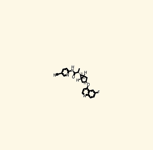 CC(C(=O)Nc1ccc(C#N)cn1)[C@@H]1[C@@H]2C[C@@H](Oc3ccnc4ccc(F)cc34)C[C@@H]21